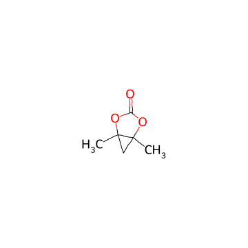 CC12CC1(C)OC(=O)O2